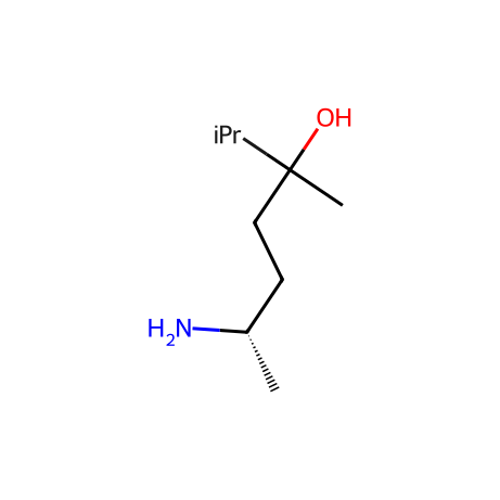 CC(C)C(C)(O)CC[C@H](C)N